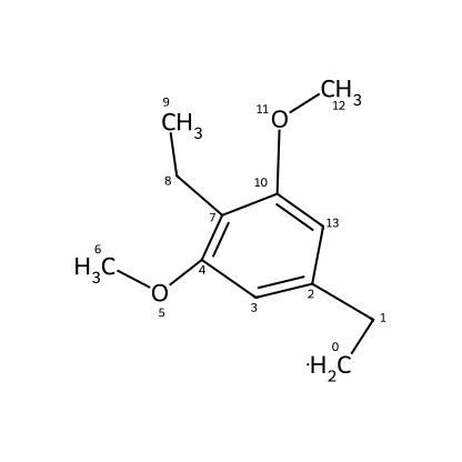 [CH2]Cc1cc(OC)c(CC)c(OC)c1